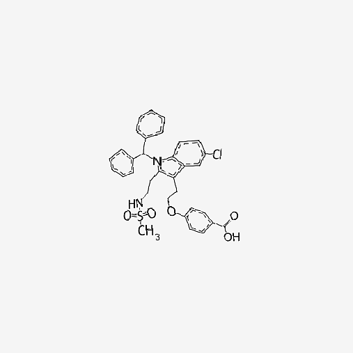 CS(=O)(=O)NCCc1c(CCOc2ccc(C(=O)O)cc2)c2cc(Cl)ccc2n1C(c1ccccc1)c1ccccc1